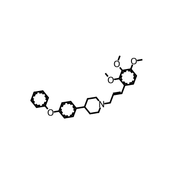 COc1ccc(/C=C/CN2CCC(c3ccc(Oc4ccccc4)cc3)CC2)c(OC)c1OC